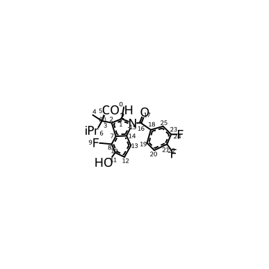 Cc1c([C@](C)(C(=O)O)C(C)C)c2c(F)c(O)ccc2n1C(=O)c1ccc(F)c(F)c1